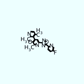 COc1c(-c2cnccc2C)cc(-c2noc(-c3ccc(F)cn3)n2)nc1C